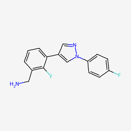 NCc1cccc(-c2cnn(-c3ccc(F)cc3)c2)c1F